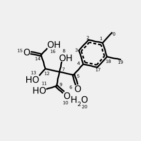 Cc1ccc(C(=O)C(O)(C(=O)O)C(O)C(=O)O)cc1C.O